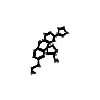 CC(C)(C)COc1ccc2c(c1)[C@]1(COC(N)=N1)c1cc(-c3ccsc3)ccc1O2